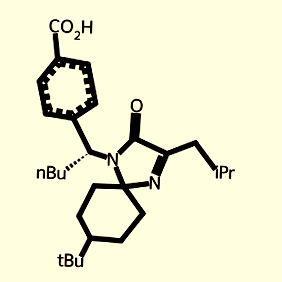 CCCC[C@H](c1ccc(C(=O)O)cc1)N1C(=O)C(CC(C)C)=NC12CCC(C(C)(C)C)CC2